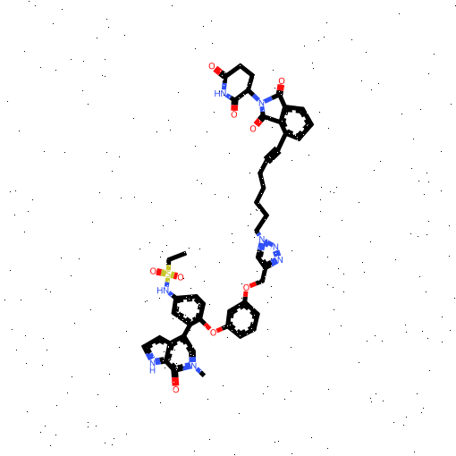 CCS(=O)(=O)Nc1ccc(Oc2cccc(OCc3cn(CCCCCC#Cc4cccc5c4C(=O)N(C4CCC(=O)NC4=O)C5=O)nn3)c2)c(-c2cn(C)c(=O)c3[nH]ccc23)c1